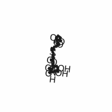 CC(C)(CCC(=O)ON1C(=O)CCC1=O)SSCCC(=O)OCC1CC(O)C(O)C2NC(=O)C(=O)N12